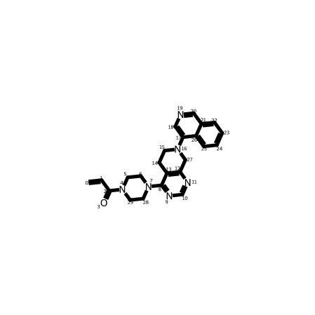 C=CC(=O)N1CCN(c2ncnc3c2CCN(c2cncc4ccccc24)C3)CC1